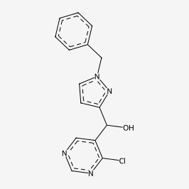 OC(c1ccn(Cc2ccccc2)n1)c1cncnc1Cl